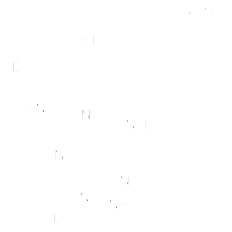 CCC(CO)Nc1nc(NCc2cccc(OC(C)=O)c2)c2c(n1)N(C(C)C)NN2C(C)C